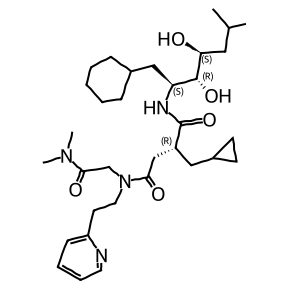 CC(C)C[C@H](O)[C@H](O)[C@H](CC1CCCCC1)NC(=O)[C@@H](CC(=O)N(CCc1ccccn1)CC(=O)N(C)C)CC1CC1